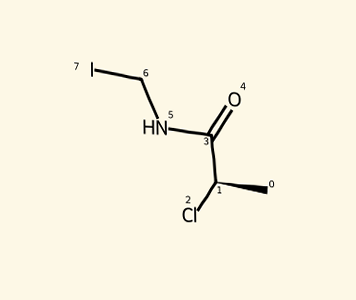 C[C@@H](Cl)C(=O)NCI